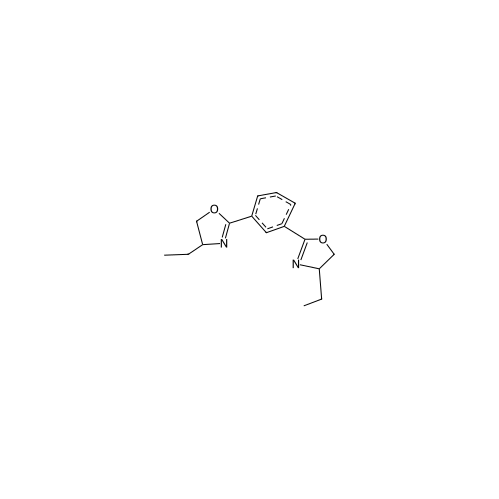 CCC1COC(c2cccc(C3=NC(CC)CO3)c2)=N1